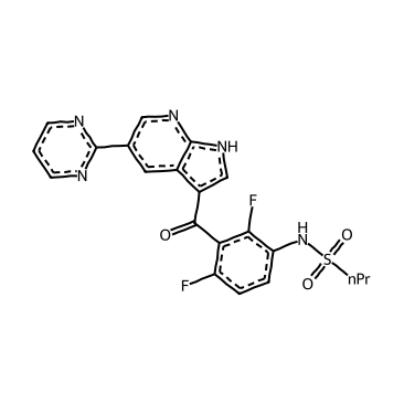 CCCS(=O)(=O)Nc1ccc(F)c(C(=O)c2c[nH]c3ncc(-c4ncccn4)cc23)c1F